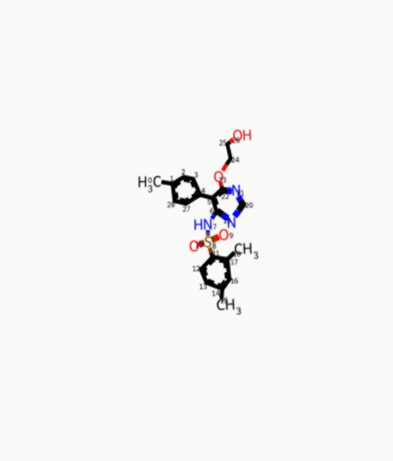 Cc1ccc(-c2c(NS(=O)(=O)c3ccc(C)cc3C)ncnc2OCCO)cc1